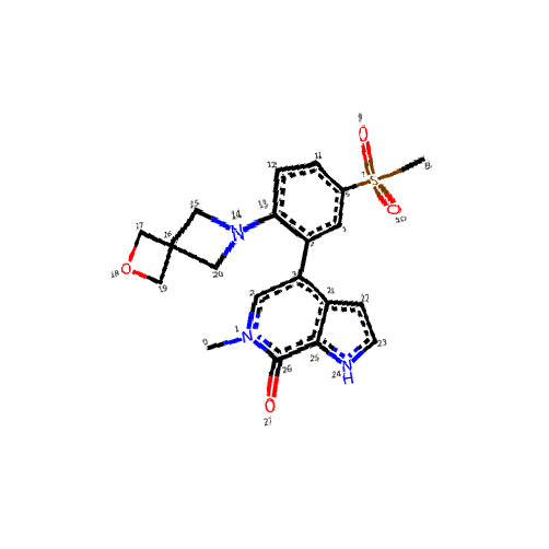 Cn1cc(-c2cc(S(C)(=O)=O)ccc2N2CC3(COC3)C2)c2cc[nH]c2c1=O